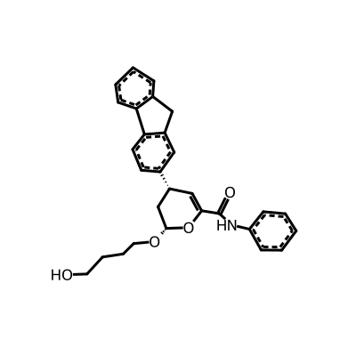 O=C(Nc1ccccc1)C1=C[C@@H](c2ccc3c(c2)Cc2ccccc2-3)C[C@@H](OCCCCO)O1